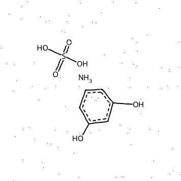 N.O=S(=O)(O)O.Oc1cccc(O)c1